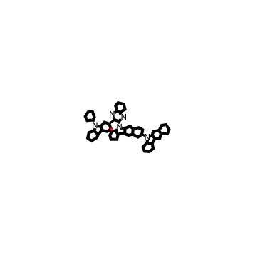 c1ccc(-n2c3ccccc3c3ccc(-c4nc5ccccc5nc4-n4c5ccccc5c5cc6cc(-n7c8ccccc8c8cc9ccccc9cc87)ccc6cc54)cc32)cc1